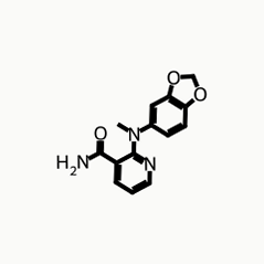 CN(c1ccc2c(c1)OCO2)c1ncccc1C(N)=O